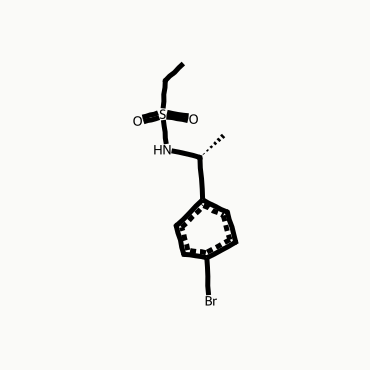 CCS(=O)(=O)N[C@H](C)c1ccc(Br)cc1